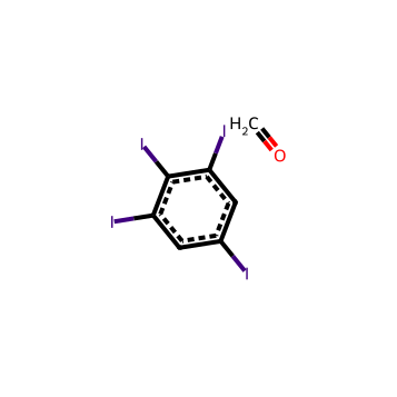 C=O.Ic1cc(I)c(I)c(I)c1